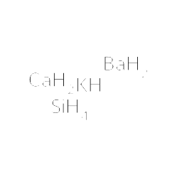 [BaH2].[CaH2].[KH].[SiH4]